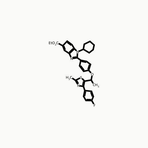 CCOC(=O)c1ccc2c(c1)nc(-c1ccc(OC(C)c3sc(C)nc3-c3ccc(F)cc3)cc1)n2C1CCCCC1